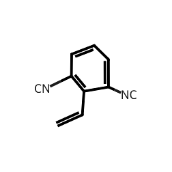 [C-]#[N+]c1cccc([N+]#[C-])c1C=C